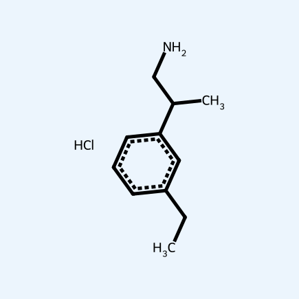 CCc1cccc(C(C)CN)c1.Cl